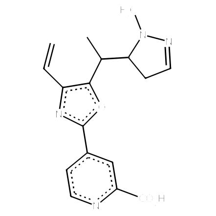 C=Cc1nc(-c2ccnc(C(=O)O)c2)oc1C(C)C1CC=NN1C(F)(F)F